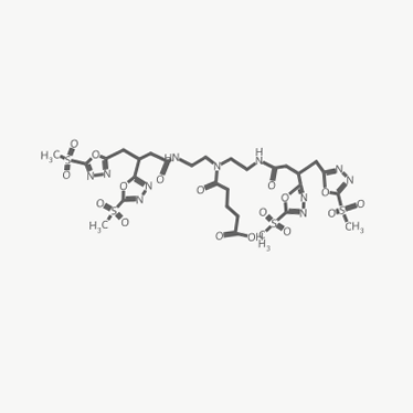 CS(=O)(=O)c1nnc(CC(CC(=O)NCCN(CCNC(=O)CC(Cc2nnc(S(C)(=O)=O)o2)c2nnc(S(C)(=O)=O)o2)C(=O)CCCC(=O)O)c2nnc(S(C)(=O)=O)o2)o1